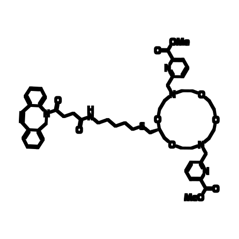 COC(=O)c1cccc(CN2CCOCCOCCN(Cc3cccc(C(=O)OC)n3)CCO[C@H](CSCCCCCNC(=O)CCC(=O)N3Cc4ccccc4C#Cc4ccccc43)COCC2)n1